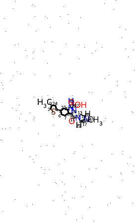 Cc1csc(-c2ccc3c(C(=O)N4C[C@@H]5C[C@H]4CN5C)n[nH]c3c2)c1.O=CO